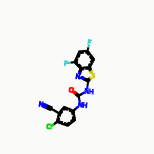 N#Cc1cc(NC(=O)Nc2nc3c(F)cc(F)cc3s2)ccc1Cl